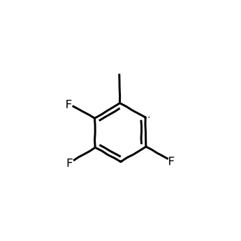 Cc1[c]c(F)cc(F)c1F